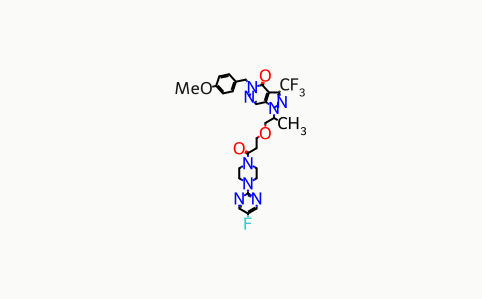 COc1ccc(Cn2ncc3c(c(C(F)(F)F)nn3C(C)COCCC(=O)N3CCN(c4ncc(F)cn4)CC3)c2=O)cc1